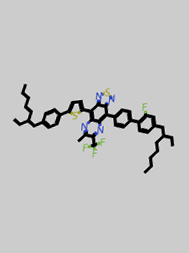 CCCCCC(CC)Cc1ccc(-c2ccc(-c3c4nsnc4c(-c4ccc(-c5ccc(CC(CC)CCCCC)cc5F)cc4)c4nc(C(F)(F)F)c(C)nc34)s2)cc1